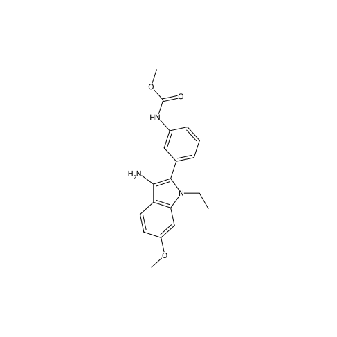 CCn1c(-c2cccc(NC(=O)OC)c2)c(N)c2ccc(OC)cc21